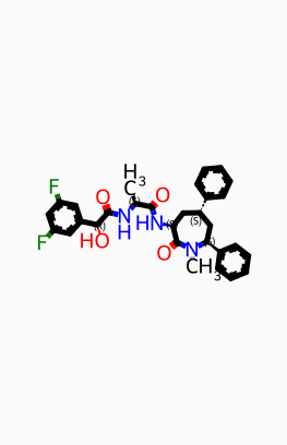 C[C@H](NC(=O)[C@H](O)c1cc(F)cc(F)c1)C(=O)N[C@H]1C[C@H](c2ccccc2)C[C@@H](c2ccccc2)N(C)C1=O